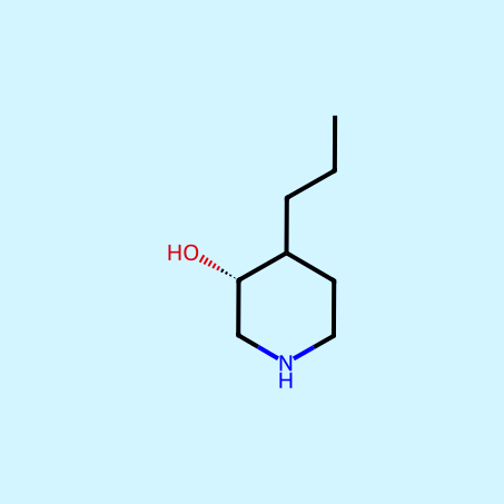 CCCC1CCNC[C@@H]1O